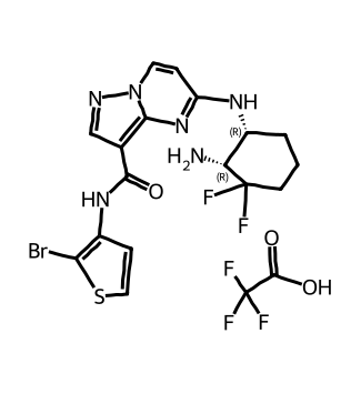 N[C@@H]1[C@H](Nc2ccn3ncc(C(=O)Nc4ccsc4Br)c3n2)CCCC1(F)F.O=C(O)C(F)(F)F